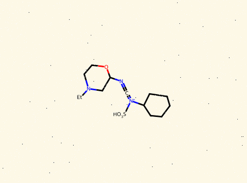 CCN1CCOC(N=C=[N+](C2CCCCC2)S(=O)(=O)O)C1